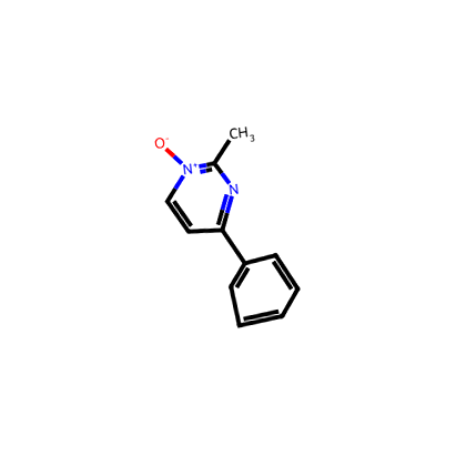 Cc1nc(-c2ccccc2)cc[n+]1[O-]